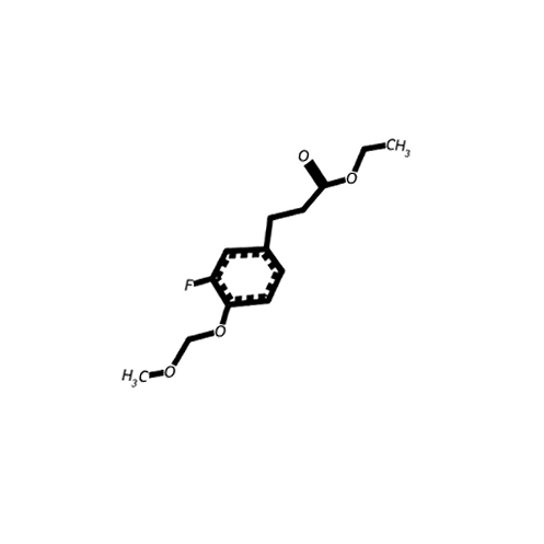 CCOC(=O)CCc1ccc(OCOC)c(F)c1